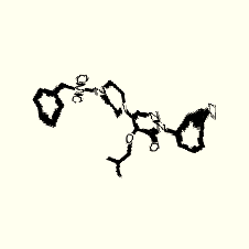 CC(C)COc1c(N2CCN(S(=O)(=O)Cc3ccccc3)CC2)cnn(-c2cccc(Cl)c2)c1=O